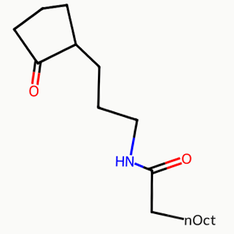 CCCCCCCCCC(=O)NCCCC1CCCC1=O